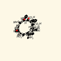 C=C(N)C[C@@H](NC(=O)C1CCCN1C(=O)C(CCC(=O)O)NC(=O)C(CC(C)=O)C(C)C)C(=O)C[C@@H]1CSS[C@@H](C(C)=O)NC(=O)C(CCC(=O)O)NC(=O)[C@H](CC2=Cc3ccccc3C2)NC(=O)[C@H](CCC(=O)O)NC(=O)[C@H](Cc2cc3ccccc3[nH]2)NC(=O)[C@H](CCSC)NC(=O)C(C(C)C)NC(=O)[C@H](Cc2cnc[nH]2)NC(=O)[C@H](C(C)CC)CC(=O)C(CC(=O)O)CC1=O